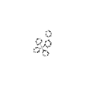 [c]1ccc(-c2ccc3c(c2)C(c2ccccc2)(c2ccccc2)c2ccccc2-3)cc1